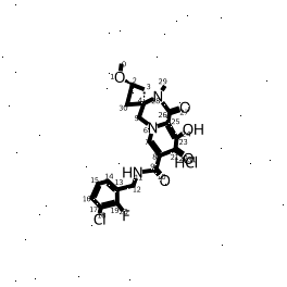 CO[C@H]1C[C@]2(Cn3cc(C(=O)NCc4cccc(Cl)c4F)c(=O)c(O)c3C(=O)N2C)C1.Cl